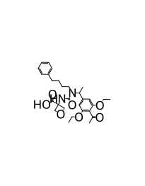 CCOc1cc(C(C)N(CCCCc2ccccc2)C(=O)NC2(C(=O)O)COC2)cc(OCC)c1C(C)=O